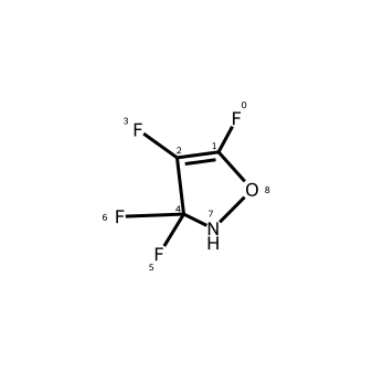 FC1=C(F)C(F)(F)NO1